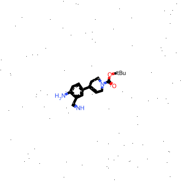 CC(C)(C)OC(=O)N1CC=C(c2ccc(N)c(C=N)c2)CC1